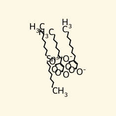 CCCCCCCC/C(=C/C(=O)[O-])C(=O)[O-].CCCCCCCC/C(=C/C(=O)[O-])C(=O)[O-].CCCCCCC[CH2][Sn+4][CH2]CCCCCCC